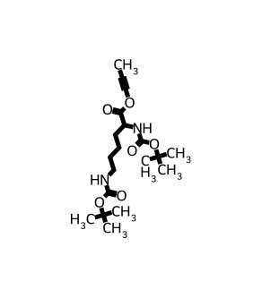 CC#COC(=O)C(CCCCNC(=O)OC(C)(C)C)NC(=O)OC(C)(C)C